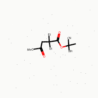 CCCC(C)(C#N)OC(=O)C(CC)(CC)CC(=O)OC